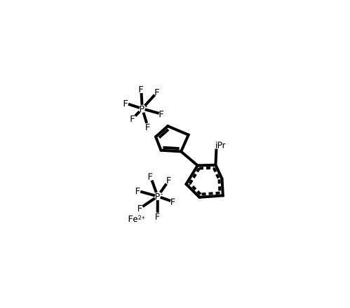 CC(C)c1ccccc1C1=CC=CC1.F[P-](F)(F)(F)(F)F.F[P-](F)(F)(F)(F)F.[Fe+2]